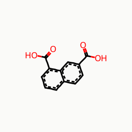 O=C(O)c1ccc2cccc(C(=O)O)c2c1